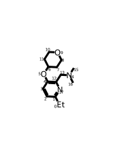 CCc1ccc(OC2CCOCC2)c(CN(C)C)n1